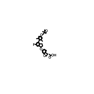 Cc1cc(OCC2(C)COC2)cc(C)c1-c1cc(F)cc2c1CC[C@H]2Oc1ccc2c(c1)OC[C@H]2CC(=O)O